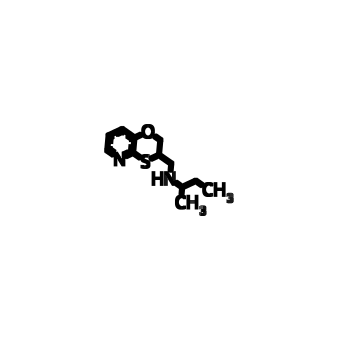 CCC(C)NCC1COc2cccnc2S1